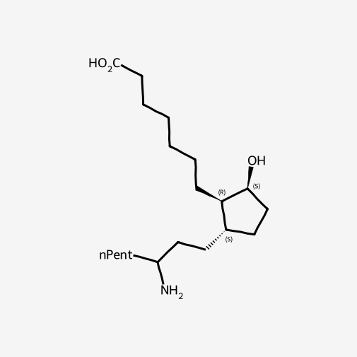 CCCCCC(N)CC[C@H]1CC[C@H](O)[C@@H]1CCCCCCC(=O)O